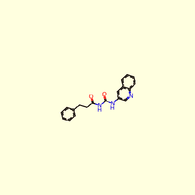 O=C(CCc1ccccc1)NC(=O)Nc1cnc2ccccc2c1